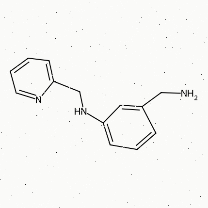 NCc1cccc(NCc2ccccn2)c1